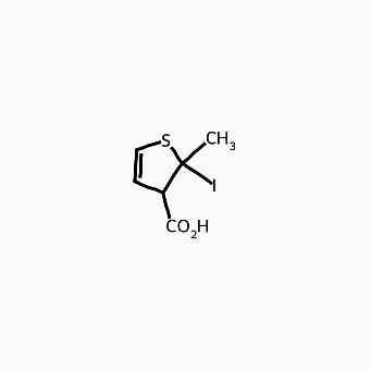 CC1(I)SC=CC1C(=O)O